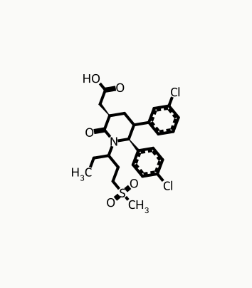 CCC(CCS(C)(=O)=O)N1C(=O)[C@@H](CC(=O)O)CC(c2cccc(Cl)c2)[C@H]1c1ccc(Cl)cc1